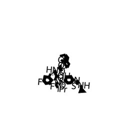 CC(C)CN(C[C@@H](O)[C@H](Cc1cc(F)cc(F)c1)NC(=O)OC1C2COC3OC1CC3C2)S(=O)(=O)c1ccc2nc(NC3CC3)sc2c1